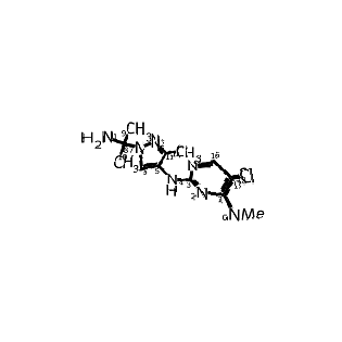 CNc1nc(Nc2cn(C(C)(C)N)nc2C)ncc1Cl